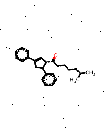 CC(C)CCCCC(=O)C1C=C(c2ccccc2)CC1c1ccccc1